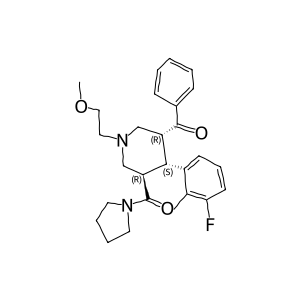 COCCN1C[C@H](C(=O)c2ccccc2)[C@H](c2cccc(F)c2C)[C@@H](C(=O)N2CCCC2)C1